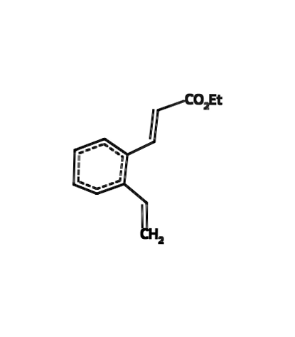 C=Cc1ccccc1C=CC(=O)OCC